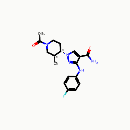 CC(C)COC(=O)N1CC[C@H](n2cc(C(N)=O)c(Nc3ccc(F)cc3)n2)[C@@H](C#N)C1